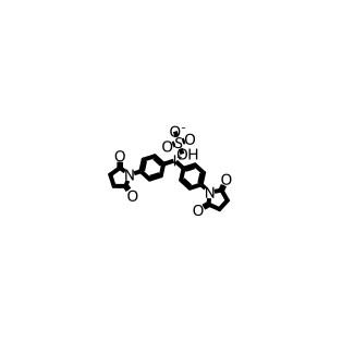 O=C1CCC(=O)N1c1ccc([I+]c2ccc(N3C(=O)CCC3=O)cc2)cc1.O=S(=O)([O-])O